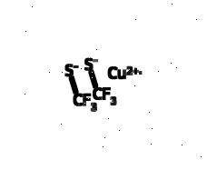 FC(F)(F)[S-].FC(F)(F)[S-].[Cu+2]